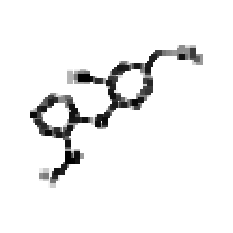 CCc1ccc(Oc2ccccc2NC)c(O)c1